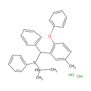 Cc1ccc(Oc2ccccc2)c([CH](c2ccccc2)[Ti]([c]2ccccc2)[SiH](C)C)c1.Cl.Cl